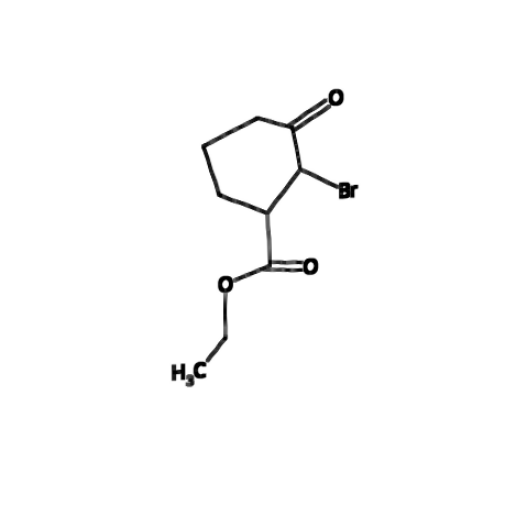 CCOC(=O)C1CCCC(=O)C1Br